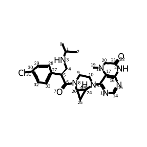 CC(C)NC[C@@H](C(=O)N1CCN(c2ncnc3c2N(C)CC(=O)N3)C2C[C@H]21)c1ccc(Cl)cc1